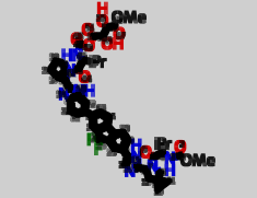 COC(=O)NC(C(=O)N1CC2(CC2)CC1c1ncc(-c2ccc3c(c2)C(F)(F)c2cc(-c4ccc5nc(C6C7CCC(C7)N6C(=O)C(NC(=O)OC(=O)C(O)C(O)C(=O)OC)C(C)C)[nH]c5c4)ccc2-3)[nH]1)C(C)C